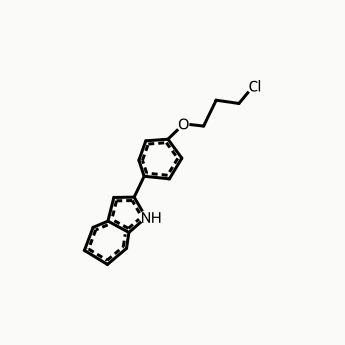 ClCCCOc1ccc(-c2cc3ccccc3[nH]2)cc1